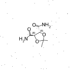 CC1(C)O[C@@H](C(N)=O)[C@H](C(N)=O)O1